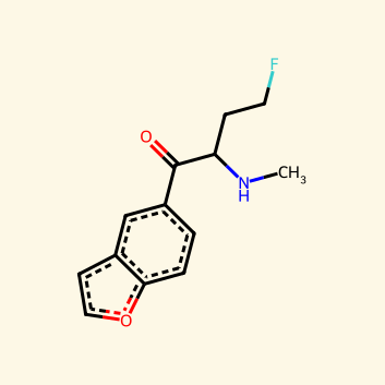 CNC(CCF)C(=O)c1ccc2occc2c1